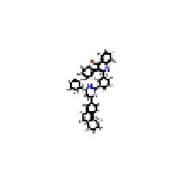 c1ccc(-c2cc(-c3ccc4c(ccc5ccccc54)c3)nc(-c3cccc(-c4nc5ccccc5c5sc6ccccc6c45)c3)n2)cc1